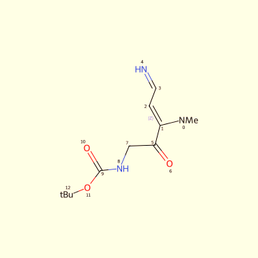 CN/C(=C\C=N)C(=O)CNC(=O)OC(C)(C)C